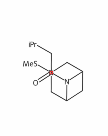 CSN1CC2CC(C1)N2C(=O)CC(C)C